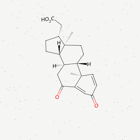 C[C@]12CC[C@H]3[C@@H](CC(=O)C4=CC(=O)C=C[C@@]43C)[C@@H]1CC[C@@H]2CC(=O)O